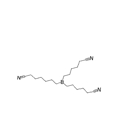 N#CCCCCCCB(CCCCCC#N)CCCCCC#N